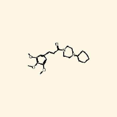 COc1cc(CCC(=O)N2CCN(C3CCCCC3)CC2)cc(OC)c1OC